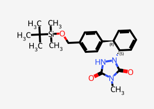 Cn1c(=O)[nH]n([C@H]2C=CC=C[C@@H]2c2ccc(CO[Si](C)(C)C(C)(C)C)cc2)c1=O